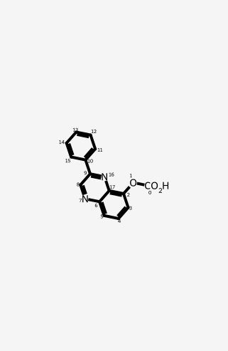 O=C(O)Oc1cccc2ncc(-c3ccccc3)nc12